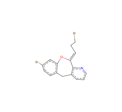 BrCCC=C1Oc2cc(Br)ccc2Cc2cccnc21